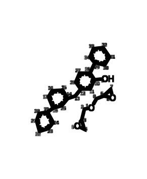 C(OCC1CO1)C1CO1.Oc1cc(Cc2cccc(-c3ccccc3)c2)ccc1-c1ccccc1